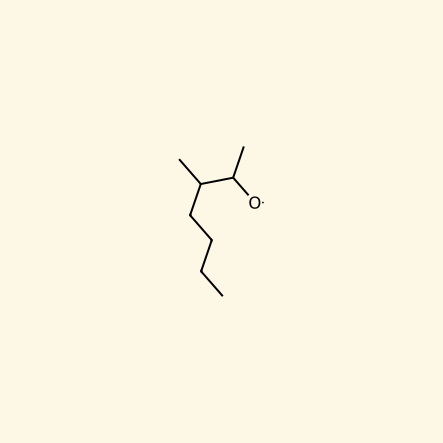 CCCCC(C)C(C)[O]